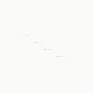 COCCOCCOC(=O)N(C)C